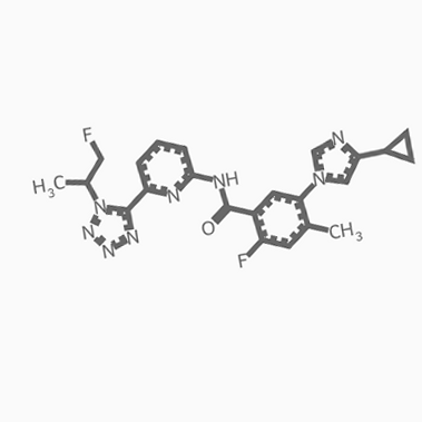 Cc1cc(F)c(C(=O)Nc2cccc(-c3nnnn3C(C)CF)n2)cc1-n1cnc(C2CC2)c1